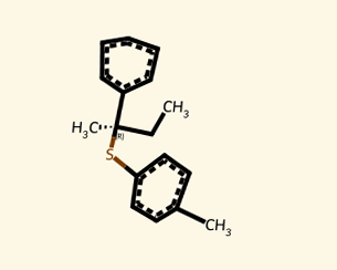 CC[C@@](C)(Sc1ccc(C)cc1)c1ccccc1